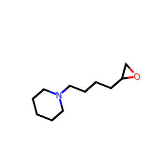 C1CCN(CCCCC2CO2)CC1